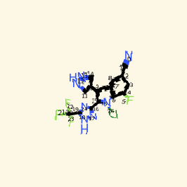 N#Cc1cc(F)c2c(c1)c(-c1cn[nH]c1)c(-c1n[nH]c(C(F)(F)F)n1)n2Cl